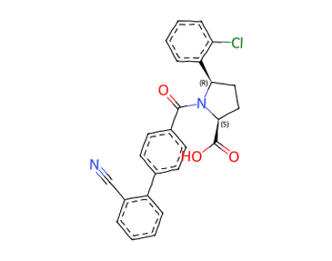 N#Cc1ccccc1-c1ccc(C(=O)N2[C@@H](c3ccccc3Cl)CC[C@H]2C(=O)O)cc1